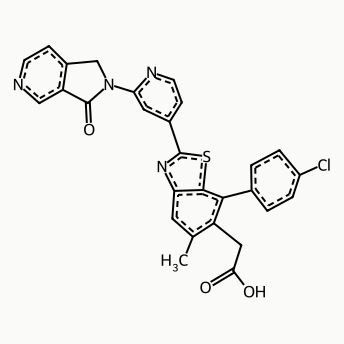 Cc1cc2nc(-c3ccnc(N4Cc5ccncc5C4=O)c3)sc2c(-c2ccc(Cl)cc2)c1CC(=O)O